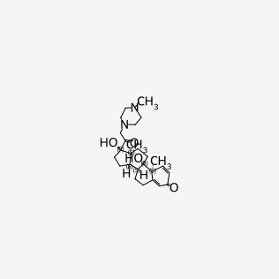 CN1CCN(CC(=O)[C@@]2(O)CC[C@H]3[C@@H]4CCC5=CC(=O)C=C[C@]5(C)[C@@]4(O)CC[C@@]32C)CC1